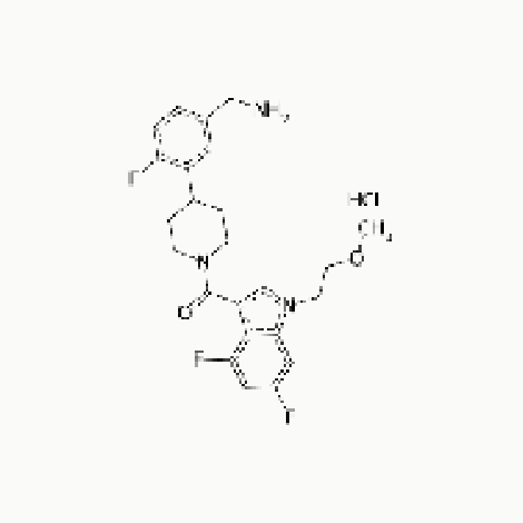 COCCn1cc(C(=O)N2CCC(c3cc(CN)ccc3F)CC2)c2c(F)cc(F)cc21.Cl